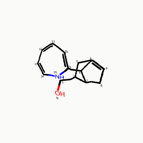 OCC1CC2=CCC1C2C1=CC=CC=CN1